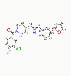 O=C(c1ccc(F)c(Cl)c1)N1CCC(CNCc2cccc(-c3ccco3)n2)CC1